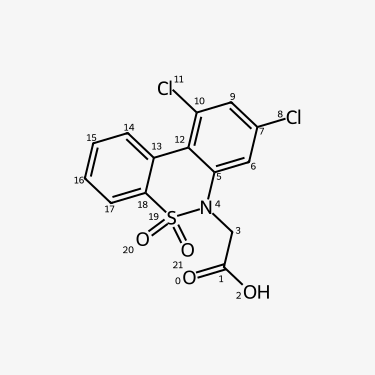 O=C(O)CN1c2cc(Cl)cc(Cl)c2-c2ccccc2S1(=O)=O